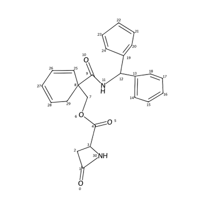 O=C1CC(C(=O)OCC2(C(=O)NC(c3ccccc3)c3ccccc3)C=CC=CC2)N1